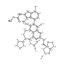 CC(C)(C)OC(=O)Nc1sc2c(F)ccc(-c3c(Cl)c4c5c(nc(OC[C@@]67CCCN6C[C@H](F)C7)nc5c3F)N(CC(F)F)C(C3CCCO3)CO4)c2c1C#N